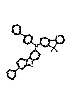 CC1(C)c2ccccc2-c2ccc(N(c3ccc(-c4ccccc4)cc3)c3ccc4oc5cc(-c6ccccc6)ccc5c4c3)cc21